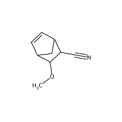 COC1C2C=CC(C2)C1C#N